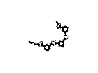 CCCCc1nc(-c2cccc(-c3noc(-c4cccc(-c5nc(-c6cccc(-c7noc(C)n7)c6)no5)c4)n3)c2)no1